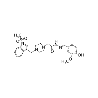 COc1cc(C=NNC(=O)CN2CCN(Cc3cn(S(C)(=O)=O)c4ccccc34)CC2)ccc1O